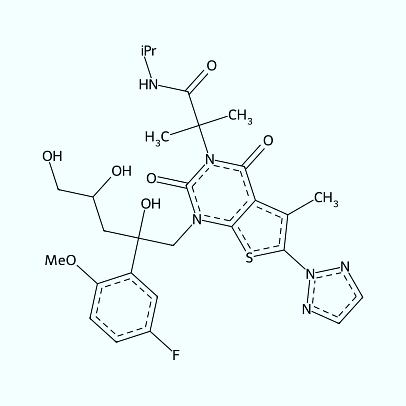 COc1ccc(F)cc1C(O)(CC(O)CO)Cn1c(=O)n(C(C)(C)C(=O)NC(C)C)c(=O)c2c(C)c(-n3nccn3)sc21